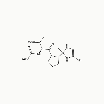 COC(=O)N[C@H](C(=O)N1CCC[C@H]1C1(C)NC=C(C(C)C)N1)[C@H](C)OC